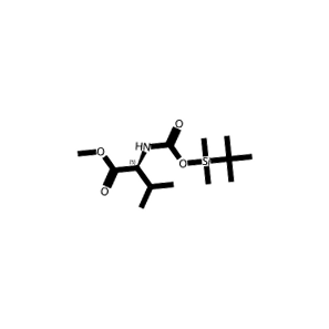 COC(=O)[C@@H](NC(=O)O[Si](C)(C)C(C)(C)C)C(C)C